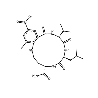 CC(C)C[C@@H]1NC(=O)[C@H](C(C)C)NC(=O)c2cc([N+](=O)[O-])cc(I)c2NCC[C@@H](C(N)=O)NC1=O